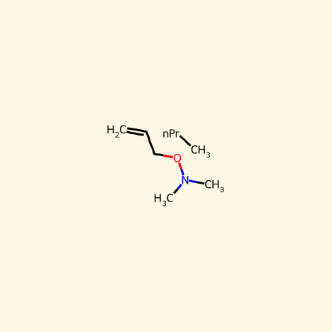 C=CCON(C)C.CCCC